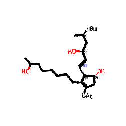 CCCC[C@H](C)C[C@H](O)/C=C/[C@@H]1C(CCCCCCC(C)O)=C(OC(C)=O)C[C@H]1O